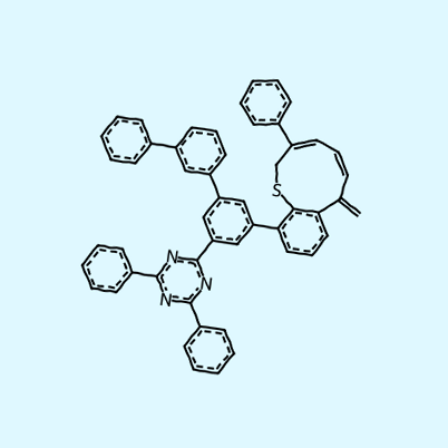 C=C1/C=C\C=C(\c2ccccc2)CSc2c1cccc2-c1cc(-c2cccc(-c3ccccc3)c2)cc(-c2nc(-c3ccccc3)nc(-c3ccccc3)n2)c1